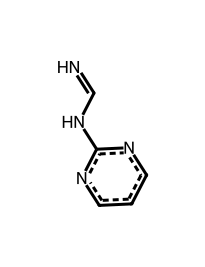 N=CNc1ncccn1